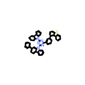 c1ccc(-c2ccc3c4ccccc4n(-c4nc(-c5cccc(-c6cccc7sc8ccccc8c67)c5)nc(-n5c6ccccc6c6ccccc65)n4)c3c2)cc1